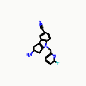 N#Cc1ccc2c(c1)c1c(n2Cc2cccc(F)n2)CC(N)C1